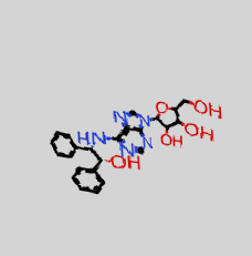 OCC1OC(n2cnc3c(N[C@@H](c4ccccc4)[C@H](O)c4ccccc4)ncnc32)C(O)C1O